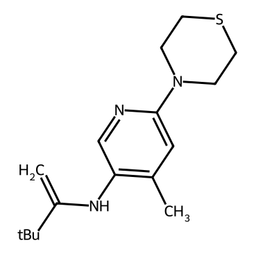 C=C(Nc1cnc(N2CCSCC2)cc1C)C(C)(C)C